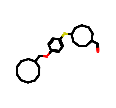 O=CC1CCCCC(Sc2ccc(OCC3CCCCCCCCC3)cc2)CCC1